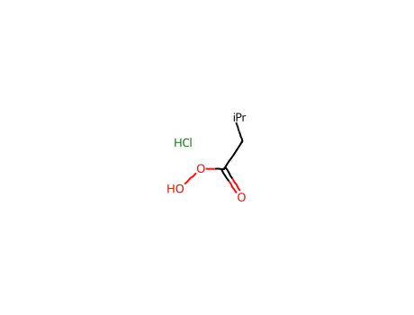 CC(C)CC(=O)OO.Cl